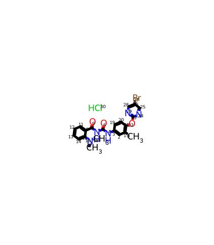 Cc1cc(NC(=O)NC(=O)c2ccccc2N(C)C)ccc1Oc1ncc(Br)cn1.Cl